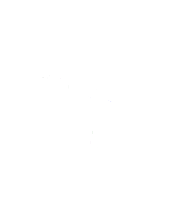 Cc1ccnc(-c2cc(C)ccn2)c1.F[P-](F)(F)(F)(F)F.F[P-](F)(F)(F)(F)F.F[P-](F)(F)(F)(F)F.[Ru+3]